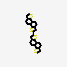 c1cc2ccc3c(ccc4cc(-c5cc6ccc7c(ccc8ccsc87)c6s5)sc43)c2s1